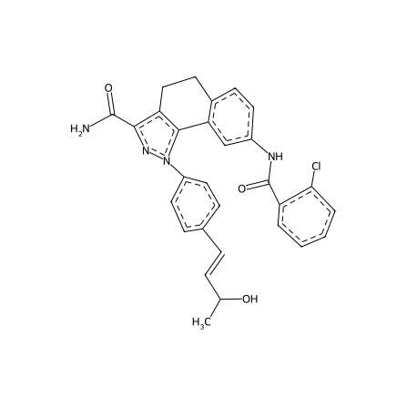 CC(O)C=Cc1ccc(-n2nc(C(N)=O)c3c2-c2cc(NC(=O)c4ccccc4Cl)ccc2CC3)cc1